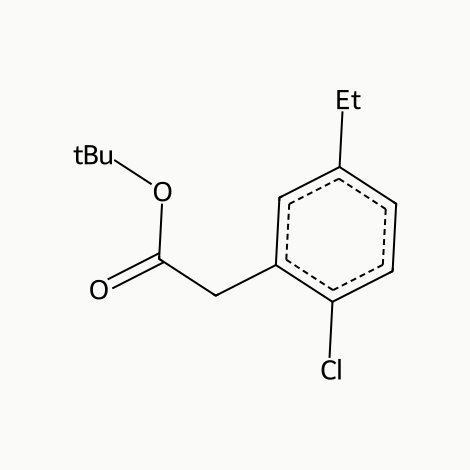 CCc1ccc(Cl)c(CC(=O)OC(C)(C)C)c1